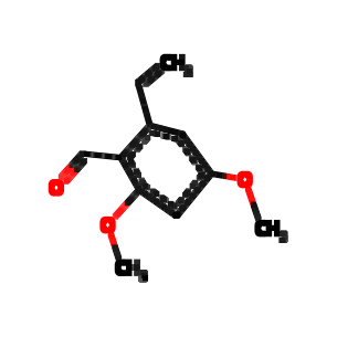 C=Cc1cc(OC)cc(OC)c1C=O